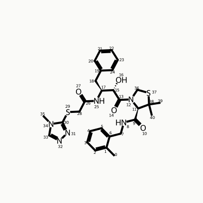 Cc1ccccc1CNC(=O)[C@H]1N(C(=O)[C@@H](O)[C@H](Cc2ccccc2)NC(=O)CSc2nncn2C)CSC1(C)C